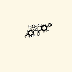 Cc1ccc(NC(=O)c2ccc(Br)cc2C(=O)O)cn1